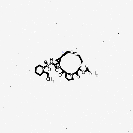 CCC1CCCCN1S(=O)(=O)NC(=O)C12CC1/C=C\CCCCCC(OC(N)=O)C(=O)N1CCCC1C(=O)N2